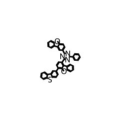 c1ccc(-c2nc(-c3ccc4oc5ccccc5c4c3)nc(-c3ccc(-c4ccc5sc6ccccc6c5c4)c4oc5ccccc5c34)n2)cc1